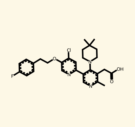 Cc1ncc(-c2cc(Cl)c(OCCc3ccc(F)cc3)cn2)c(N2CCC(C)(C)CC2)c1CC(=O)O